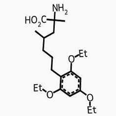 CCOc1cc(OCC)c(CCCC(C)CC(C)(N)C(=O)O)c(OCC)c1